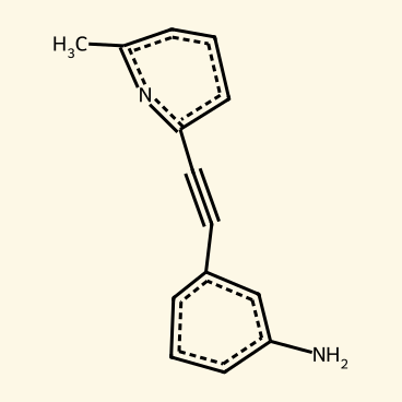 Cc1cccc(C#Cc2cccc(N)c2)n1